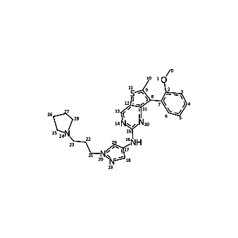 COc1ccccc1-c1c(C)sc2cnc(Nc3cnn(CCCN4CCCC4)c3)nc12